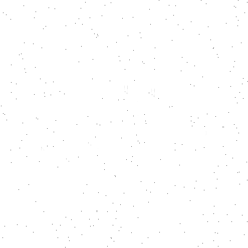 CCc1sc2ncnc(N)c2c1-c1ccc(NC(=O)Nc2ccc(Cl)cc2)cc1